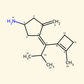 C=C1CC(N)C/C1=C(/C1=C(C)CC1)C(C)C